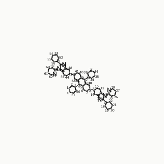 c1ccc(-c2c3ccc(-c4ccc5c(c4)nc(-c4ccccc4)n5-c4ccccn4)cc3c(-c3ccccc3)c3ccc(-c4ccc5c(c4)nc(-c4ccccc4)n5-c4ccccn4)cc23)cc1